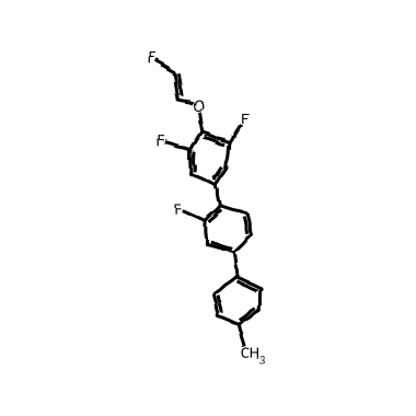 Cc1ccc(-c2ccc(-c3cc(F)c(OC=CF)c(F)c3)c(F)c2)cc1